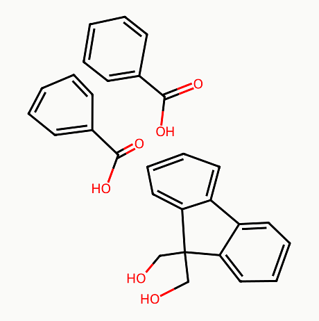 O=C(O)c1ccccc1.O=C(O)c1ccccc1.OCC1(CO)c2ccccc2-c2ccccc21